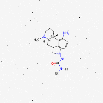 CCN(CC)C(=O)NN1CC2C[C@@H]3[C@H](CCCN3C)c3c(N)ccc1c32